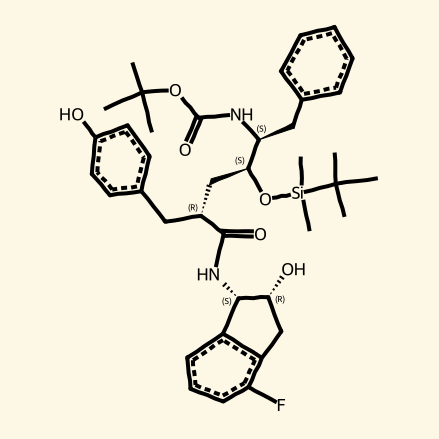 CC(C)(C)OC(=O)N[C@@H](Cc1ccccc1)[C@H](C[C@@H](Cc1ccc(O)cc1)C(=O)N[C@H]1c2cccc(F)c2C[C@H]1O)O[Si](C)(C)C(C)(C)C